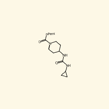 CCCCCC(=O)N1CCC(NC(=O)NC2CC2)CC1